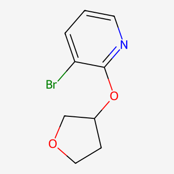 Brc1cccnc1OC1CCOC1